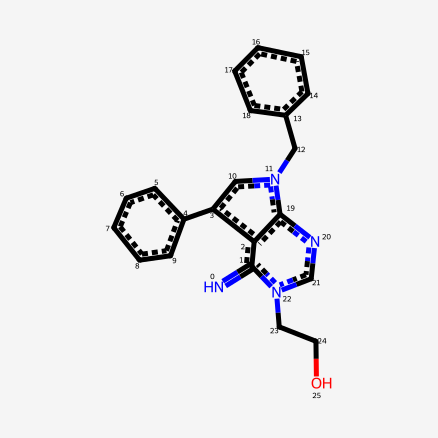 N=c1c2c(-c3ccccc3)cn(Cc3ccccc3)c2ncn1CCO